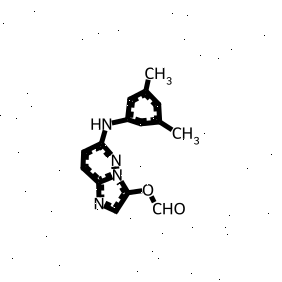 Cc1cc(C)cc(Nc2ccc3ncc(OC=O)n3n2)c1